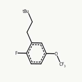 CC(C)(C)CCc1cc(OC(F)(F)F)ccc1F